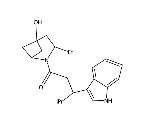 CCC1CC2(O)CC(C2)N1C(=O)CC(c1c[nH]c2ccccc12)C(C)C